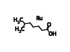 CC(C)CCCCC(=O)O.[Ru]